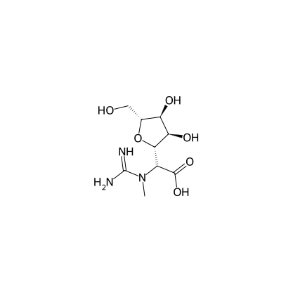 CN(C(=N)N)C(C(=O)O)[C@@H]1O[C@H](CO)[C@@H](O)[C@H]1O